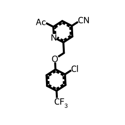 CC(=O)c1cc(C#N)cc(COc2ccc(C(F)(F)F)cc2Cl)n1